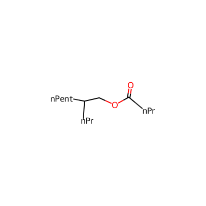 CCCCCC(CCC)COC(=O)CCC